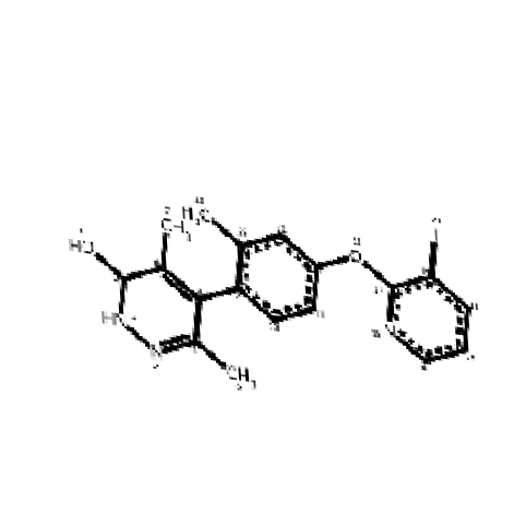 CC1=NNC(O)C(C)=C1c1ccc(Oc2ncccc2I)cc1C